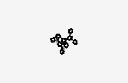 c1ccc(-c2cc(-c3ccccc3)cc(-c3cccc(-c4cccc5c6ccccc6n(-c6ccc7c(c6)c6ccccc6n7-c6ccccc6)c45)c3)c2)cc1